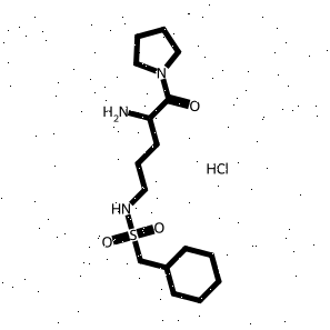 Cl.NC(CCCNS(=O)(=O)CC1CCCCC1)C(=O)N1CCCC1